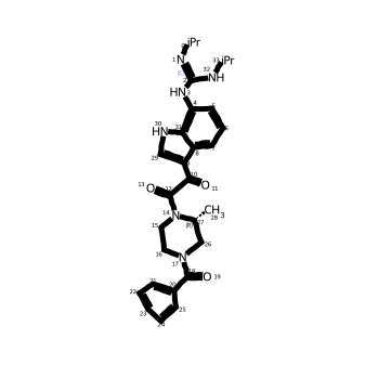 CC(C)/N=C(/Nc1cccc2c(C(=O)C(=O)N3CCN(C(=O)c4ccccc4)C[C@H]3C)c[nH]c12)NC(C)C